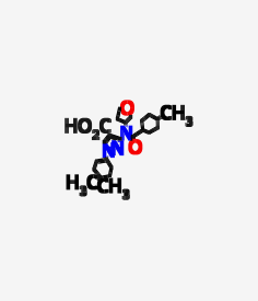 CC1CCC(C(=O)N(c2nn(C3=CCC(C)(C)CC3)cc2C(=O)O)C2CCOC2)CC1